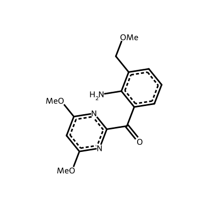 COCc1cccc(C(=O)c2nc(OC)cc(OC)n2)c1N